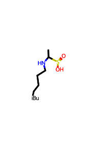 CCC(C)CCCCNC(C)S(=O)O